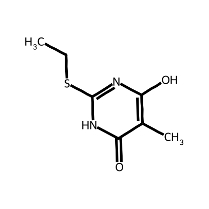 CCSc1nc(O)c(C)c(=O)[nH]1